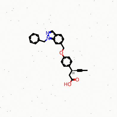 CC#C[C@@H](CC(=O)O)c1ccc(OCc2ccc3cnn(Cc4ccccc4)c3c2)cc1